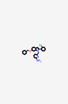 Nc1cccc(Cn2c(-c3ccccc3Cl)cc3ccc(OCc4ccccc4)cc32)n1